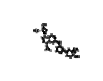 C[C@@H]1[C@@H](O)CN1c1ncc(C2CC2)c2cc(Nc3ccnc(N4CC[C@@H](O)[C@@](C)(F)C4)n3)ncc12